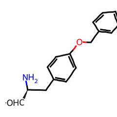 N[C@H]([C]=O)Cc1ccc(OCc2ccccc2)cc1